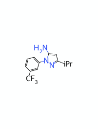 CC(C)c1cc(N)n(-c2cccc(C(F)(F)F)c2)n1